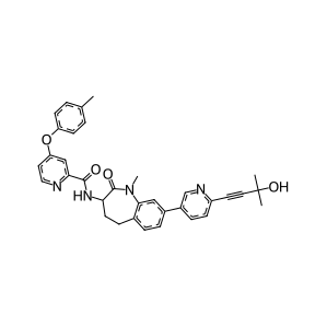 Cc1ccc(Oc2ccnc(C(=O)NC3CCc4ccc(-c5ccc(C#CC(C)(C)O)nc5)cc4N(C)C3=O)c2)cc1